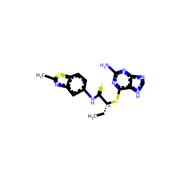 CC[C@@H](Sc1nc(N)nc2nc[nH]c12)C(=S)Nc1ccc2sc(C)nc2c1